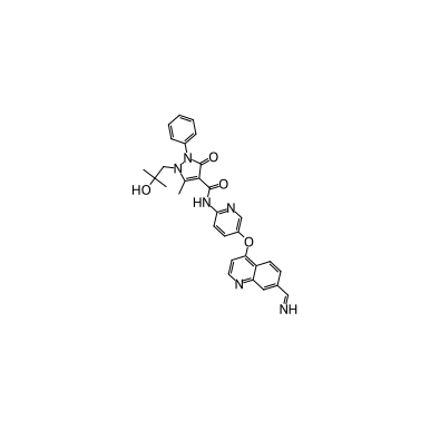 Cc1c(C(=O)Nc2ccc(Oc3ccnc4cc(C=N)ccc34)cn2)c(=O)n(-c2ccccc2)n1CC(C)(C)O